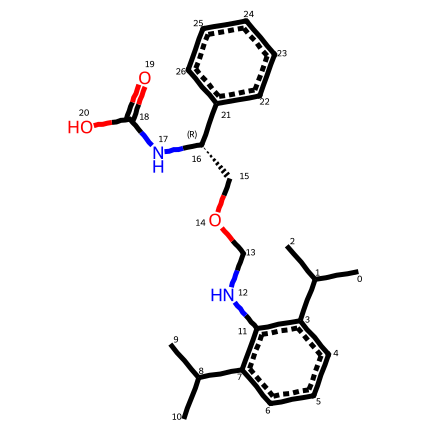 CC(C)c1cccc(C(C)C)c1NCOC[C@H](NC(=O)O)c1ccccc1